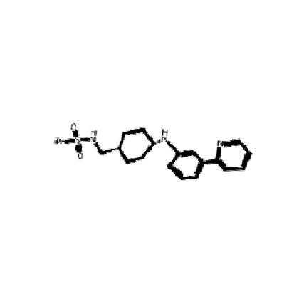 CC(C)S(=O)(=O)NC[C@H]1CC[C@H](Nc2cccc(-c3ccccn3)c2)CC1